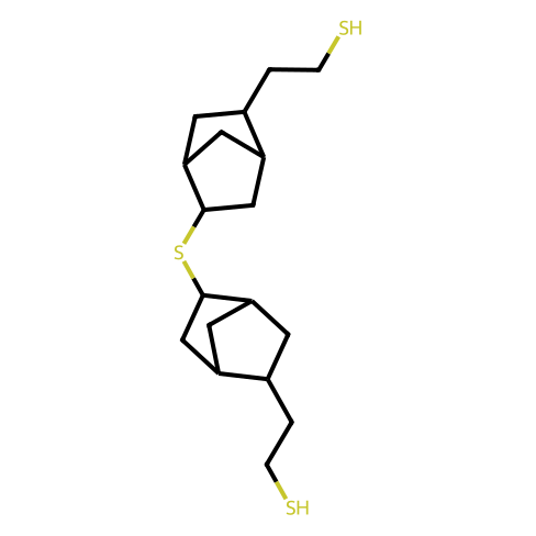 SCCC1CC2CC1CC2SC1CC2CC1CC2CCS